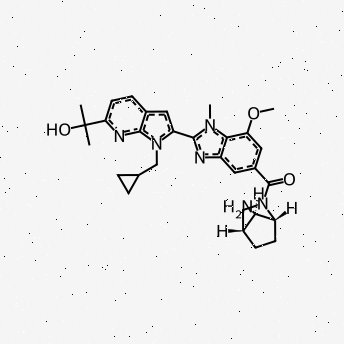 COc1cc(C(=O)N2C[C@H]3CC[C@@H]2[C@@H]3N)cc2nc(-c3cc4ccc(C(C)(C)O)nc4n3CC3CC3)n(C)c12